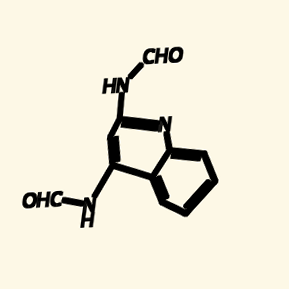 O=CNc1cc(NC=O)c2ccccc2n1